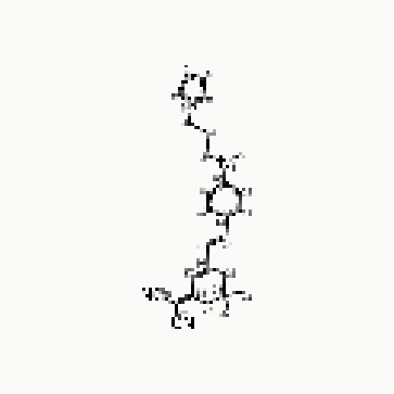 CN(CCCn1cccc1)c1ccc(C=CC2=CC(=C(C#N)C#N)CC(C)(C)C2)cc1